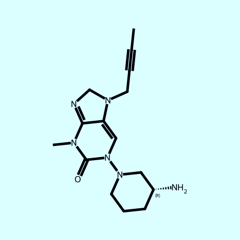 CC#CCN1CN=C2C1=CN(N1CCC[C@@H](N)C1)C(=O)N2C